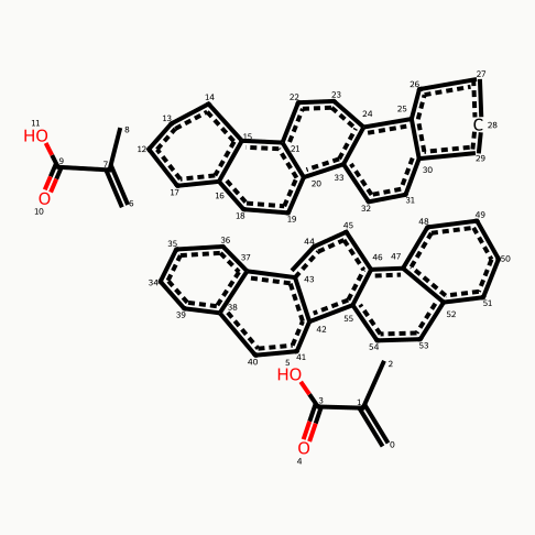 C=C(C)C(=O)O.C=C(C)C(=O)O.c1ccc2c(c1)ccc1c2ccc2c3ccccc3ccc21.c1ccc2c(c1)ccc1c2ccc2c3ccccc3ccc21